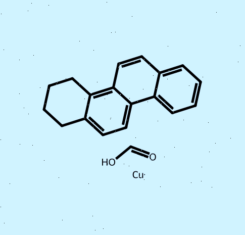 O=CO.[Cu].c1ccc2c(c1)ccc1c3c(ccc12)CCCC3